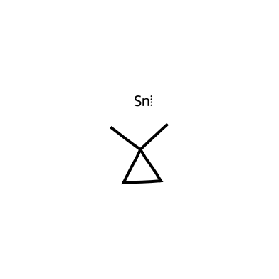 CC1(C)CC1.[Sn]